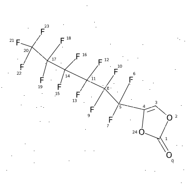 O=c1occ(C(F)(F)C(F)(F)C(F)(F)C(F)(F)C(F)(F)C(F)(F)F)o1